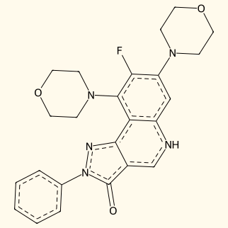 O=c1c2c[nH]c3cc(N4CCOCC4)c(F)c(N4CCOCC4)c3c-2nn1-c1ccccc1